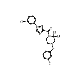 CCC1(CC)CN([C]c2cccc(Cl)c2)CCN1C(=O)c1ncn(-c2cccc(Cl)c2)n1